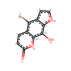 O=c1ccc2c(Br)c3ccoc3c(O)c2o1